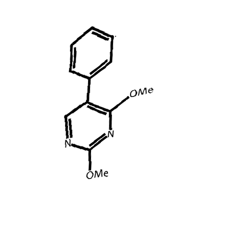 COc1ncc(-c2c[c]ccc2)c(OC)n1